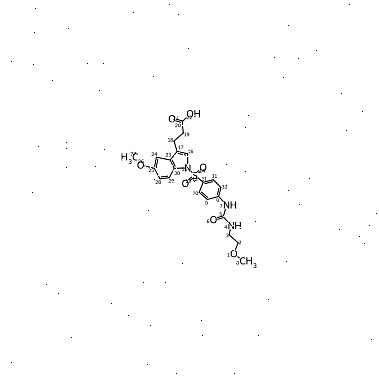 COCCNC(=O)Nc1ccc(S(=O)(=O)n2cc(CCC(=O)O)c3cc(OC)ccc32)cc1